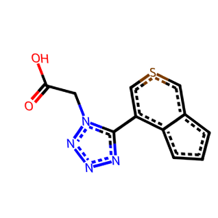 O=C(O)Cn1nnnc1-c1cscc2cccc1-2